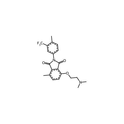 Cc1ccc(N2C(=O)c3c(C)ccc(OCCN(C)C)c3C2=O)cc1C(F)(F)F